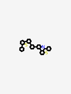 c1ccc(-c2cccc3c2sc2c(-c4cccc(-c5ccc6nc7c8c(cccc8c6c5)Sc5ccccc5-7)c4)cccc23)cc1